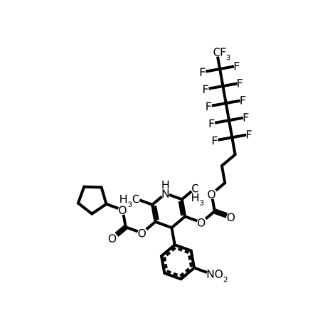 CC1=C(OC(=O)OCCCC(F)(F)C(F)(F)C(F)(F)C(F)(F)C(F)(F)C(F)(F)F)C(c2cccc([N+](=O)[O-])c2)C(OC(=O)OC2CCCC2)=C(C)N1